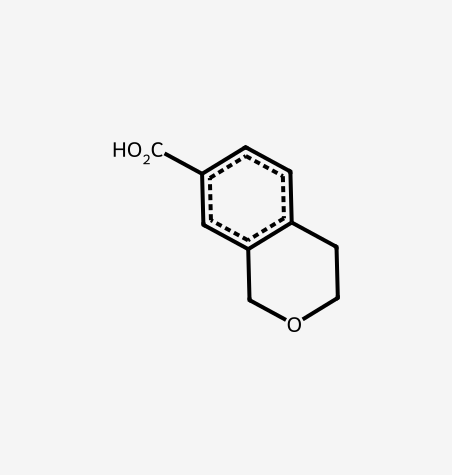 O=C(O)c1ccc2c(c1)COCC2